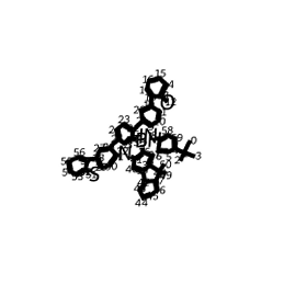 CC(C)(C)c1ccc(Nc2cc3oc4ccccc4c3cc2-c2ccc3c4cc5c(cc4n4c3c2Bc2cc3c(cc2-4)-c2ccccc2C3(C)C)sc2ccccc25)cc1